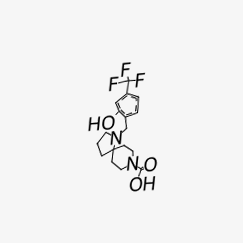 O=C(O)N1CCC2(CCCN2Cc2ccc(C(F)(F)F)cc2O)CC1